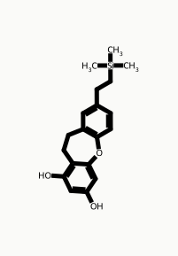 C[Si](C)(C)CCc1ccc2c(c1)CCc1c(O)cc(O)cc1O2